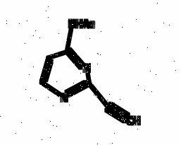 C#Cc1nccc(NC(C)=O)n1